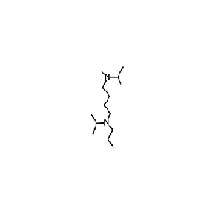 CCCN(CCCCN(C)C(C)C)C(C)C